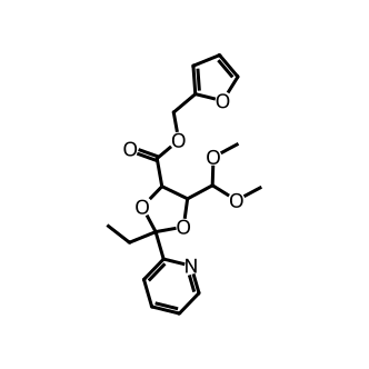 CCC1(c2ccccn2)OC(C(=O)OCc2ccco2)C(C(OC)OC)O1